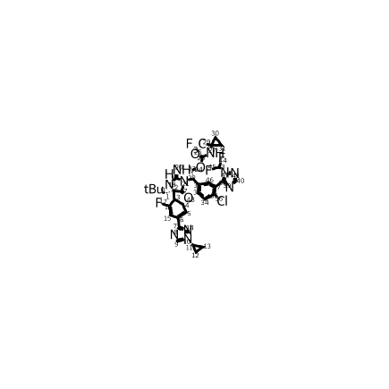 CC(C)(C)C[C@]1(C2CC=C(c3ncn(C4CC4)n3)C=C2F)NC(=N)N([C@H](COC(=O)NC2(C(F)(F)F)CC2)c2ccc(Cl)c(-c3ncnn3C(F)F)c2)C1=O